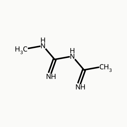 CNC(=N)NC(C)=N